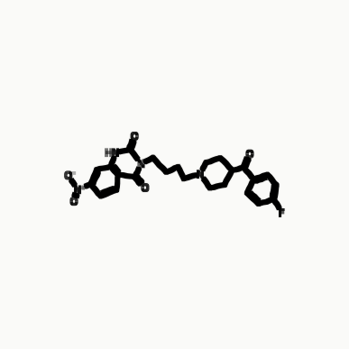 O=C(c1ccc(F)cc1)C1CCN(CCCCn2c(=O)[nH]c3cc([N+](=O)[O-])ccc3c2=O)CC1